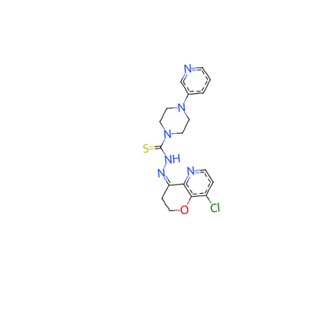 S=C(N/N=C1/CCOc2c(Cl)ccnc21)N1CCN(c2cccnc2)CC1